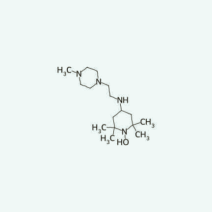 CN1CCN(CCNC2CC(C)(C)N(O)C(C)(C)C2)CC1